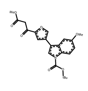 COC(=O)CC(=O)c1cc(-c2cn(C(=O)OC(C)(C)C)c3ccc(OC)cc23)co1